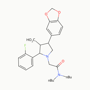 CCCCN(CCCC)C(=O)CN1CC(c2ccc3c(c2)OCO3)C(C(=O)O)C1c1ccccc1F